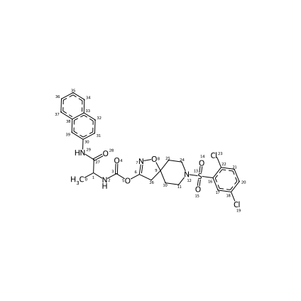 CC(NC(=O)OC1=NOC2(CCN(S(=O)(=O)c3cc(Cl)ccc3Cl)CC2)C1)C(=O)Nc1ccc2ccccc2c1